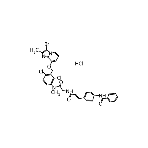 Cc1nc2c(OCc3c(Cl)ccc(N(C)C(=O)CNC(=O)C=Cc4ccc(NC(=O)c5ccccc5)cc4)c3Cl)cccn2c1Br.Cl